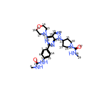 CNC(=O)Nc1ccc(-c2nc(N3CCOCC3)c3cnn(C4CCN(C(=O)NC)CC4)c3n2)cc1